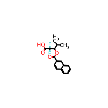 CC(C)C(OC(=O)c1ccc2ccccc2c1)C(F)(F)C(=O)O